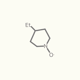 CCC1CCN([O])CC1